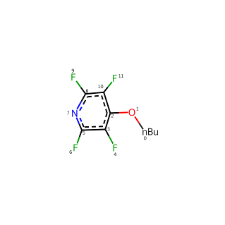 CCCCOc1c(F)c(F)nc(F)c1F